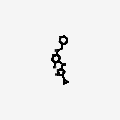 Brc1cnc(NCc2cccnc2)nc1Nc1cc(C2CC2)[nH]n1